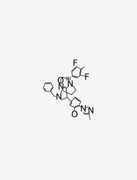 COc1cc(C2CN(Cc3ccccc3)CC23CCCN2C3=NOC[C@@H]2c2cc(F)c(C)c(F)c2)ccc1-n1cnc(C)c1